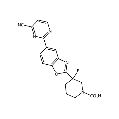 N#Cc1ccnc(-c2ccc3oc(C4(F)CCCN(C(=O)O)C4)nc3c2)n1